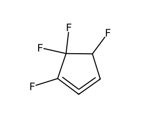 FC1=C=CC(F)C1(F)F